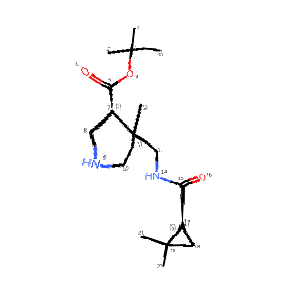 CC(C)(C)OC(=O)[C@@H]1CNCC1(C)CNC(=O)[C@H]1CC1(C)C